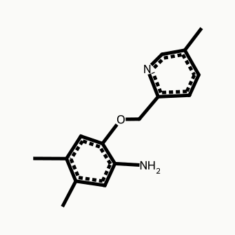 Cc1ccc(COc2cc(C)c(C)cc2N)nc1